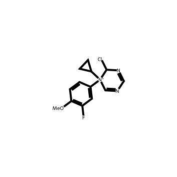 COc1ccc([N+]2(C3CC3)C=NC=NC2Cl)cc1F